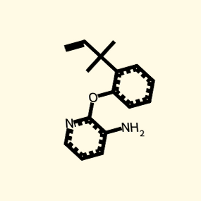 C=CC(C)(C)c1ccccc1Oc1ncccc1N